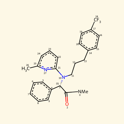 CNC(=O)[C@H](c1ccccc1)N(CCCc1ccc(C(F)(F)F)cc1)c1cccc(C)n1